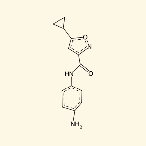 Nc1ccc(NC(=O)c2cc(C3CC3)on2)cc1